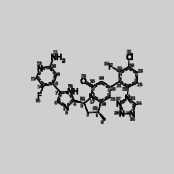 C[C@H]1C[C@@H](c2ncc(-c3cc(N)ncc3F)[nH]2)n2c1cc(-c1c(-n3cnnn3)ccc(Cl)c1F)cc2=O